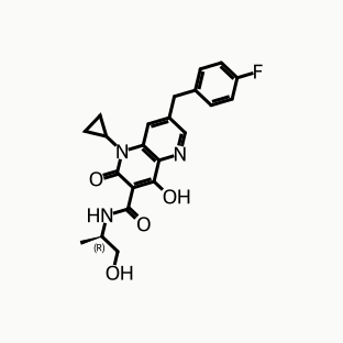 C[C@H](CO)NC(=O)c1c(O)c2ncc(Cc3ccc(F)cc3)cc2n(C2CC2)c1=O